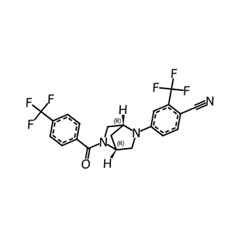 N#Cc1ccc(N2C[C@H]3C[C@@H]2CN3C(=O)c2ccc(C(F)(F)F)cc2)cc1C(F)(F)F